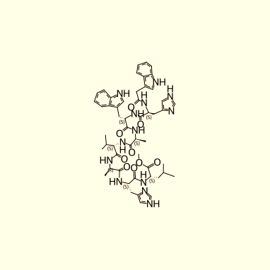 COC(=O)[C@H](CC(C)C)NC(=O)[C@H](Cc1c[nH]cn1)NC(=O)[C@@H](C)NC(=O)[C@@H](NC(=O)[C@H](C)NC(=O)[C@H](Cc1c[nH]c2ccccc12)NC(=O)[C@H](Cc1c[nH]cn1)NC(=O)Cc1c[nH]c2ccccc12)C(C)C